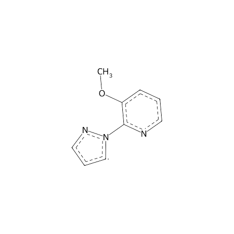 COc1cccnc1-n1[c]ccn1